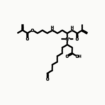 C=C(C)C(=O)NC(CCNCCCOC(=O)C(=C)C)[N+](C)(C)C(CCCCCCC=O)CC(=O)O